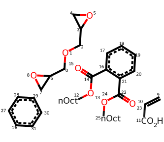 C(OCC1CO1)C1CO1.C=CC(=O)O.CCCCCCCCOC(=O)c1ccccc1C(=O)OCCCCCCCC.c1ccccc1